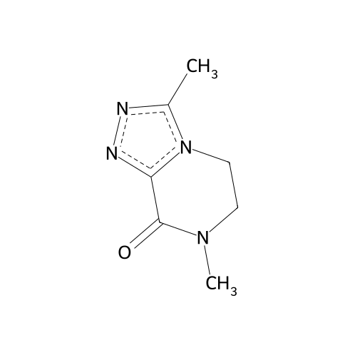 Cc1nnc2n1CCN(C)C2=O